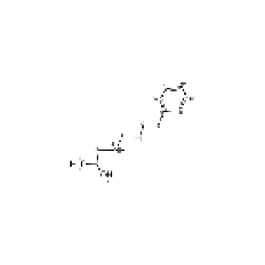 CC(O)CNCCCCc1ccccc1